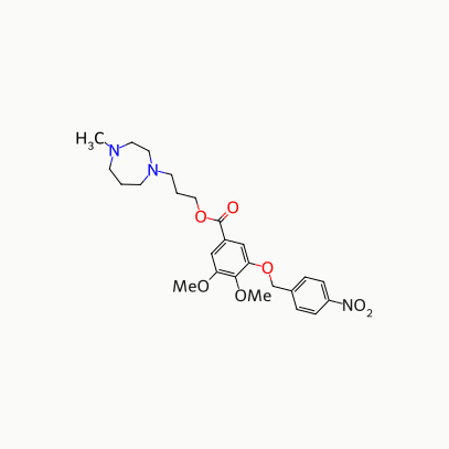 COc1cc(C(=O)OCCCN2CCCN(C)CC2)cc(OCc2ccc([N+](=O)[O-])cc2)c1OC